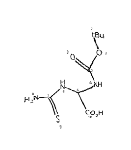 CC(C)(C)OC(=O)NC(NC(N)=S)C(=O)O